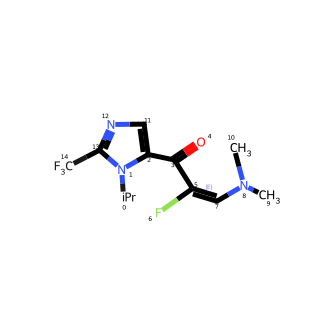 CC(C)n1c(C(=O)/C(F)=C\N(C)C)cnc1C(F)(F)F